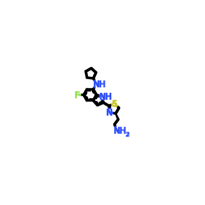 NCC[C@@H]1CSC(c2cc3cc(F)cc(NC4CCCC4)c3[nH]2)=N1